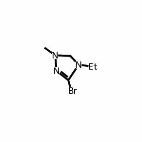 CCN1CN(C)N=C1Br